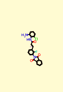 Nc1cccc(Cl)c1NC(=O)/C=C/c1cccc(N2C(=O)c3ccccc3C2=O)c1F